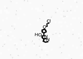 Oc1cc2cccnc2nc1-c1ccc(OCCCCl)cc1